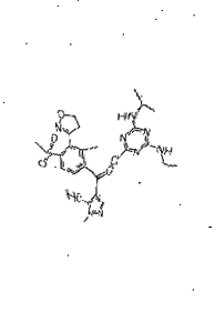 CCNc1nc(Cl)nc(NC(C)C)n1.Cc1c(C(=O)c2cnn(C)c2O)ccc(S(C)(=O)=O)c1C1=NOCC1